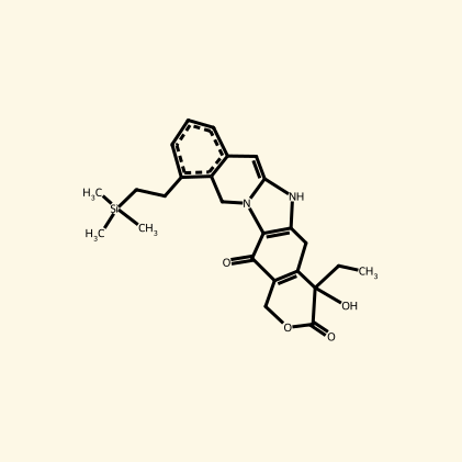 CCC1(O)C(=O)OCC2=C1CC1=C(C2=O)N2Cc3c(cccc3CC[Si](C)(C)C)C=C2N1